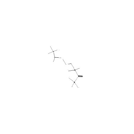 BC(C)(C)C(C)OCCC(C)(C)C(=O)C(C)(C)C